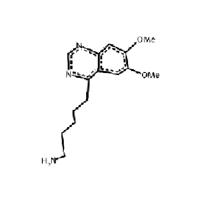 COc1cc2ncnc(CCCCCN)c2cc1OC